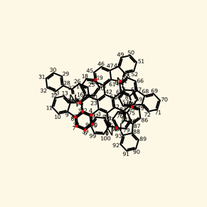 N#Cc1c(-c2cccc3c4ccccc4n(-c4ccccc4)c23)c(-c2ccc(-c3ccccc3)nc2-c2ccccc2)c(-c2cccc3c4ccccc4n(-c4ccccc4)c23)c(-c2cccc3c4ccccc4n(-c4ccccc4)c23)c1-c1cccc2c3ccccc3n(-c3ccccc3)c12